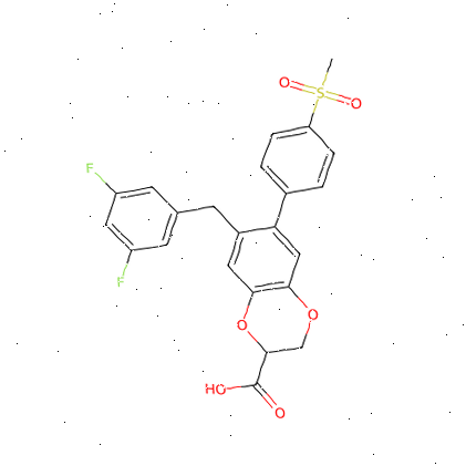 CS(=O)(=O)c1ccc(-c2cc3c(cc2Cc2cc(F)cc(F)c2)OC(C(=O)O)CO3)cc1